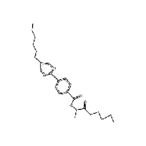 CCCCCCc1cnc(-c2ccc(C(=O)OC(C)C(=O)CCCCC)cc2)nc1